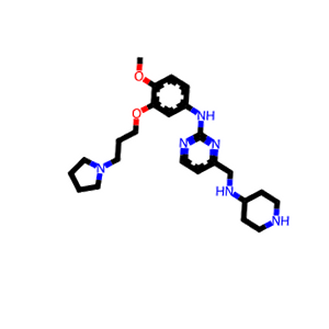 COc1ccc(Nc2nccc(CNC3CCNCC3)n2)cc1OCCCN1CCCC1